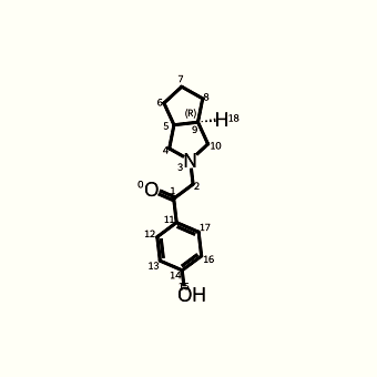 O=C(CN1CC2CCC[C@H]2C1)c1ccc(O)cc1